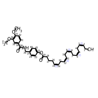 CC/C=C\C/C=C\C/C=C\C/C=C\C/C=C\CCCC(=O)Oc1ccc(CNC(=O)c2ccc(OC)c(OC)c2)cc1